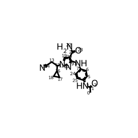 CC(=O)Nc1ccc(Nc2nn(C(CC#N)C3CC3)cc2C(N)=O)cc1